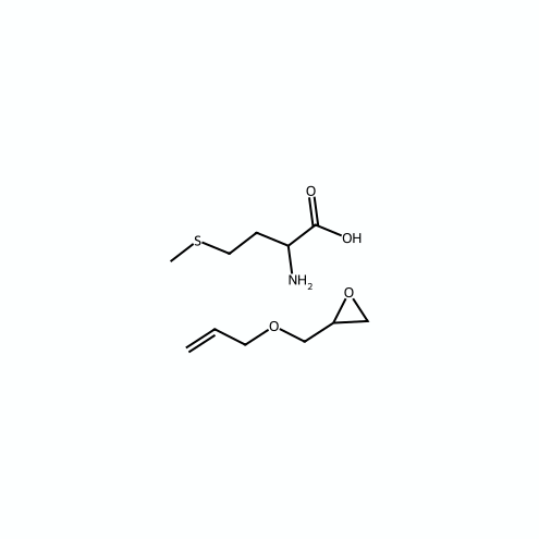 C=CCOCC1CO1.CSCCC(N)C(=O)O